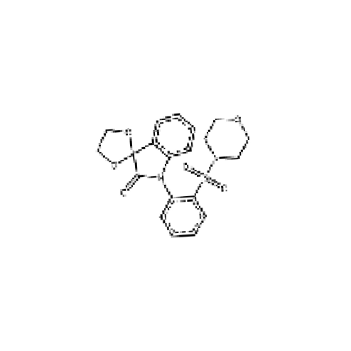 O=C1N(c2ccccc2S(=O)(=O)N2CCOCC2)c2ccccc2C12OCCO2